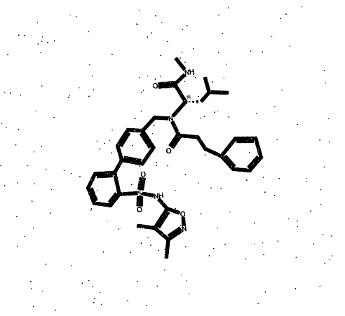 CNC(=O)[C@H](CC(C)C)N(Cc1ccc(-c2ccccc2S(=O)(=O)Nc2onc(C)c2C)cc1)C(=O)CCc1ccccc1